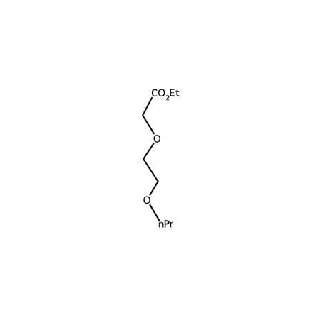 CCCOCCOCC(=O)OCC